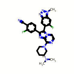 CN(C)[C@@H]1CCCN(c2nccn3c(-c4cc5nnn(C)c5cc4F)c(-c4ccc(C#N)c(F)c4)nc23)C1